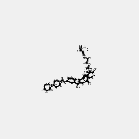 CCc1c2c(nc3ccc(OC(=O)N4CCC(N5CCCCC5)CC4)cc13)-c1cc3c(c(=O)n1C2)COC(=O)[C@@]3(CC)OC(=O)OCCOCCN